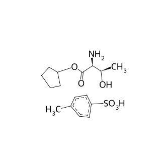 C[C@@H](O)[C@H](N)C(=O)OC1CCCC1.Cc1ccc(S(=O)(=O)O)cc1